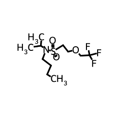 CCCCN(C(C)C)S(=O)(=O)CCOCC(F)(F)F